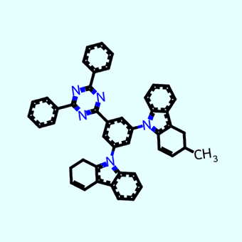 CC1C=Cc2c(c3ccccc3n2-c2cc(-c3nc(-c4ccccc4)nc(-c4ccccc4)n3)cc(-n3c4c(c5ccccc53)C=CCC4)c2)C1